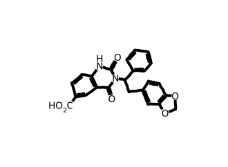 O=C(O)c1ccc2[nH]c(=O)n(C(Cc3ccc4c(c3)OCO4)c3ccccc3)c(=O)c2c1